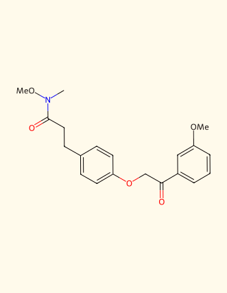 COc1cccc(C(=O)COc2ccc(CCC(=O)N(C)OC)cc2)c1